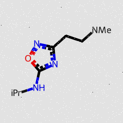 CNCCc1noc(NC(C)C)n1